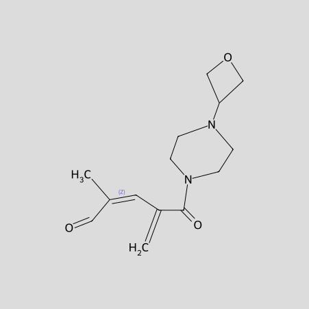 C=C(/C=C(/C)C=O)C(=O)N1CCN(C2COC2)CC1